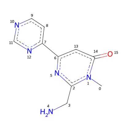 Cn1c(CN)nc(-c2ccncn2)cc1=O